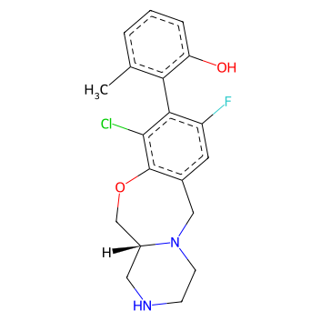 Cc1cccc(O)c1-c1c(F)cc2c(c1Cl)OC[C@H]1CNCCN1C2